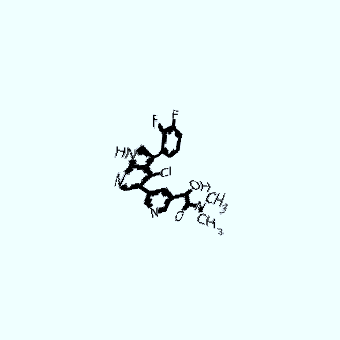 CN(C)C(=O)C(O)c1cncc(-c2cnc3[nH]cc(-c4cccc(F)c4F)c3c2Cl)c1